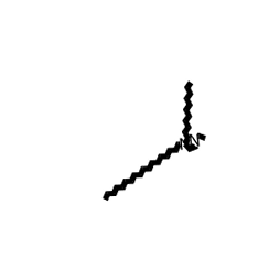 CCCCCCCCCCCCCCCCCCN1C=CN(CC)C1CCCCCCCCCC